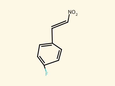 O=[N+]([O-])C=Cc1ccc(F)cc1